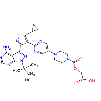 CC(C)(C)n1nc(-c2noc(C3CC3)c2-c2ncc(N3CCN(C(=O)OCC(=O)O)CC3)cn2)c2c(N)ncnc21.Cl